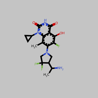 Cc1c(N2CC(C(C)N)C(F)(F)C2)c(F)c(O)c2c(=O)[nH]c(=O)n(C3CC3)c12